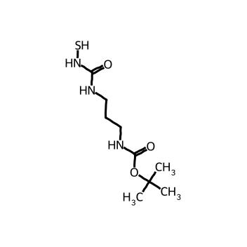 CC(C)(C)OC(=O)NCCCNC(=O)NS